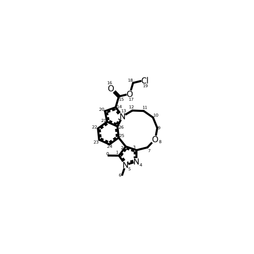 Cc1c2c(nn1C)COCCCCn1c(C(=O)OCCl)cc3cccc-2c31